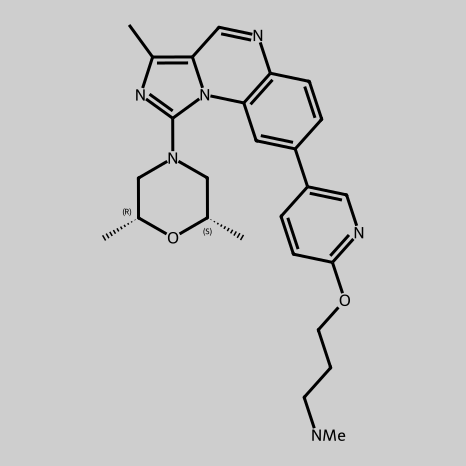 CNCCCOc1ccc(-c2ccc3ncc4c(C)nc(N5C[C@@H](C)O[C@@H](C)C5)n4c3c2)cn1